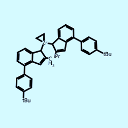 CC1=Cc2c(-c3ccc(C(C)(C)C)cc3)cccc2[CH]1[Zr]1([CH]2C(C(C)C)=Cc3c(-c4ccc(C(C)(C)C)cc4)cccc32)[CH2][CH2]1